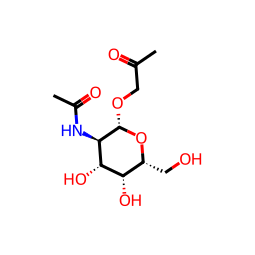 CC(=O)CO[C@@H]1O[C@H](CO)[C@H](O)[C@H](O)[C@H]1NC(C)=O